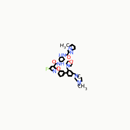 Cc1cccc2nc(C(=O)NC3CCC(NC(=O)c4cc(F)cnc4Oc4cccc(-c5ccc(CN6CCCN(C)CC6)cc5CN5CCOCC5)c4)CC3)cn12